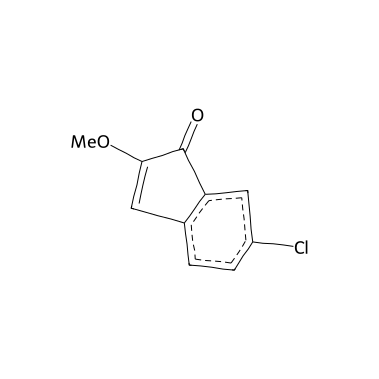 COC1=Cc2ccc(Cl)cc2C1=O